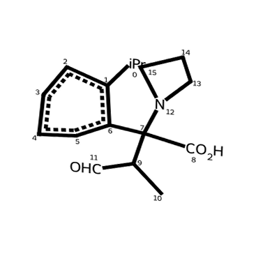 CC(C)c1ccccc1C(C(=O)O)(C(C)C=O)N1CCC1